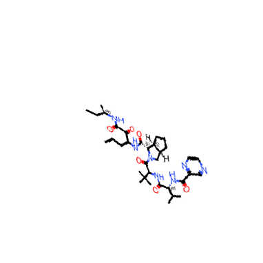 CCCC(NC(=O)[C@@H]1[C@H]2CCC[C@H]2CN1C(=O)C(NC(=O)[C@H](NC(=O)c1cnccn1)C(C)C)C(C)(C)C)C(=O)C(=O)N[C@H](C)CC